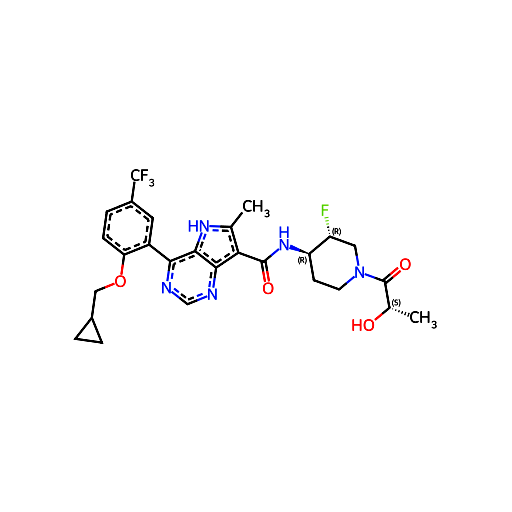 Cc1[nH]c2c(-c3cc(C(F)(F)F)ccc3OCC3CC3)ncnc2c1C(=O)N[C@@H]1CCN(C(=O)[C@H](C)O)C[C@H]1F